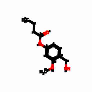 CCCC(=O)Oc1ccc(CO)c(OC)c1